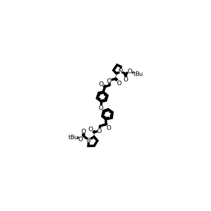 CC(C)(C)OC(=O)B1CCC[C@H]1C(=O)OCC(=O)c1cccc(Oc2ccc(C(=O)COC(=O)[C@@H]3CCCN3C(=O)OC(C)(C)C)cc2)c1